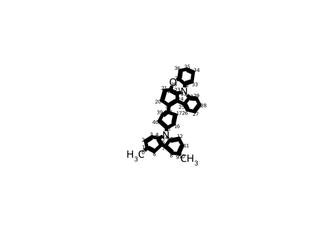 Cc1ccc2c(c1)c1cc(C)ccc1n2-c1ccc(-c2ccc3c4c2c2ccccc2n4-c2ccccc2O3)cc1